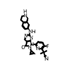 CC(C)(C#N)c1nc(-n2c3nc(Nc4ccc5c(c4)CNCC5)ncc3c(=O)n2C2CC2)ccc1F